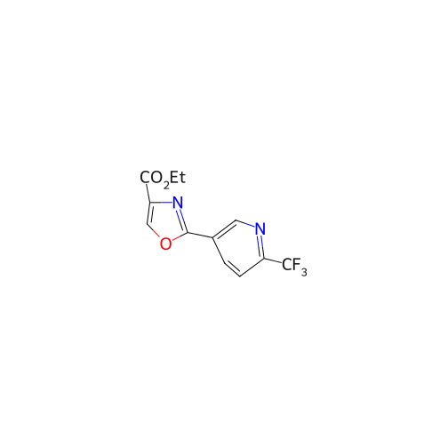 CCOC(=O)c1coc(-c2ccc(C(F)(F)F)nc2)n1